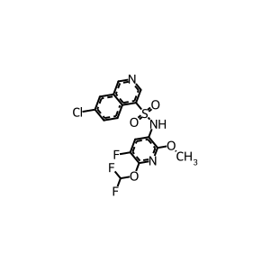 COc1nc(OC(F)F)c(F)cc1NS(=O)(=O)c1cncc2cc(Cl)ccc12